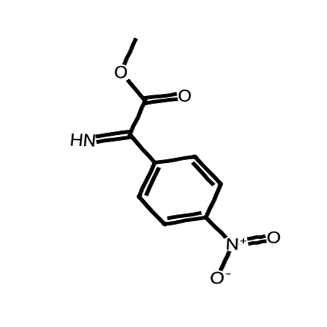 COC(=O)C(=N)c1ccc([N+](=O)[O-])cc1